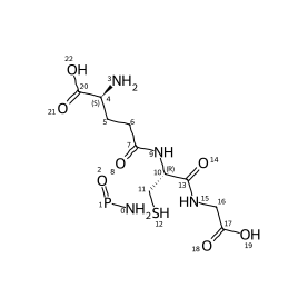 NP=O.N[C@@H](CCC(=O)N[C@@H](CS)C(=O)NCC(=O)O)C(=O)O